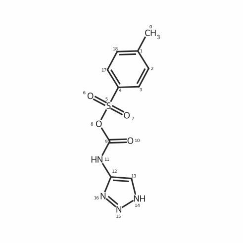 Cc1ccc(S(=O)(=O)OC(=O)Nc2c[nH]nn2)cc1